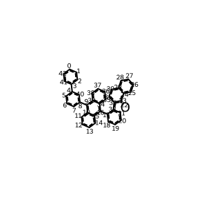 c1ccc(-c2cccc(-c3c4ccccc4c(-c4cccc5oc6c7ccccc7ccc6c45)c4ccccc34)c2)cc1